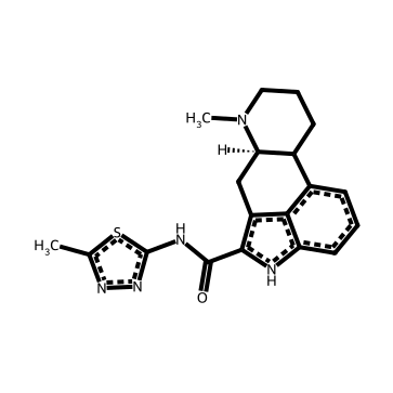 Cc1nnc(NC(=O)c2[nH]c3cccc4c3c2C[C@@H]2C4CCCN2C)s1